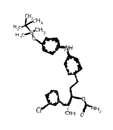 CC(C)(C)[Si](C)(C)Oc1ccc(Nc2ccc(CCC(OC(N)=O)[C@H](O)c3cccc(Cl)c3)cc2)cc1